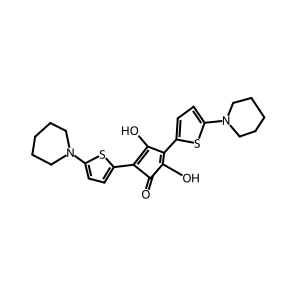 O=C1C(O)=C(c2ccc(N3CCCCC3)s2)C(O)=C1c1ccc(N2CCCCC2)s1